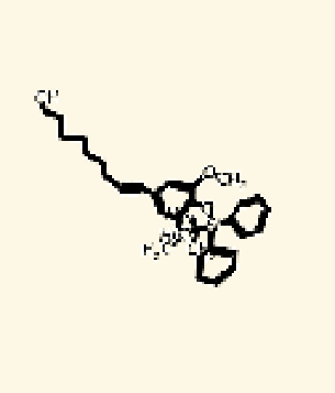 COc1cc(C#CCCCCCCCO)cc(OC)c1O[Si](c1ccccc1)(c1ccccc1)C(C)(C)C